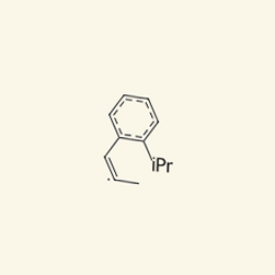 C/[C]=C\c1ccccc1C(C)C